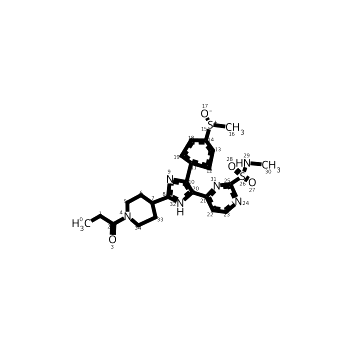 CCC(=O)N1CCC(c2nc(-c3ccc([S+](C)[O-])cc3)c(-c3ccnc(S(=O)(=O)NC)n3)[nH]2)CC1